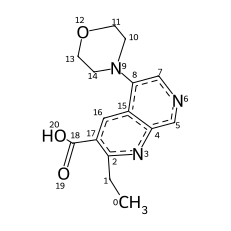 CCc1nc2cncc(N3CCOCC3)c2cc1C(=O)O